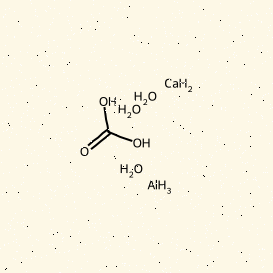 O.O.O.O=C(O)O.[AlH3].[CaH2]